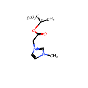 CCOC(=O)[C@@H](C)OC(=O)C[n+]1ccn(C)c1